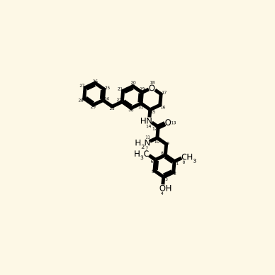 Cc1cc(O)cc(C)c1CC(N)C(=O)NC1CCOc2ccc(Cc3ccccc3)cc21